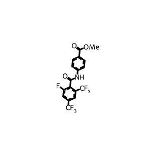 COC(=O)c1ccc(NC(=O)c2c(F)cc(C(F)(F)F)cc2C(F)(F)F)cc1